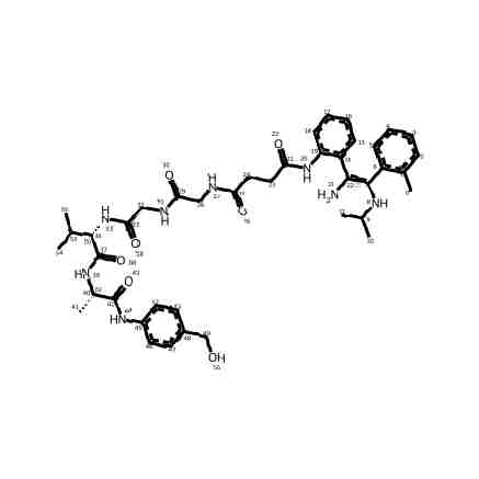 Cc1ccccc1/C(NC(C)C)=C(/N)c1ccccc1NC(=O)CCC(=O)NCC(=O)NCC(=O)N[C@H](C(=O)N[C@@H](C)C(=O)Nc1ccc(CO)cc1)C(C)C